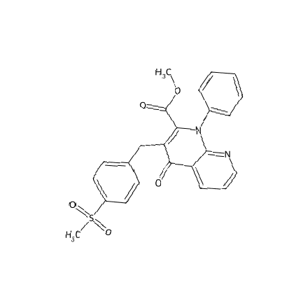 COC(=O)c1c(Cc2ccc(S(C)(=O)=O)cc2)c(=O)c2cccnc2n1-c1ccccc1